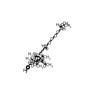 COC(=O)[C@@]1(OCCCCCCC(=O)NCCOCCOCCOCCOCCNC(=O)OC(C)(C)C)C[C@H](OC(C)=O)[C@@H](NC(=O)COC(C)=O)[C@H]([C@H](OC(C)=O)[C@@H](CNC(=O)Cc2ccc(C(F)F)cc2)OC(C)=O)O1